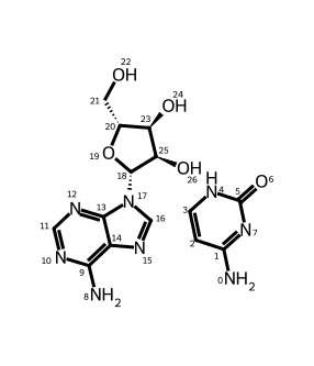 Nc1cc[nH]c(=O)n1.Nc1ncnc2c1ncn2[C@@H]1O[C@H](CO)[C@@H](O)[C@H]1O